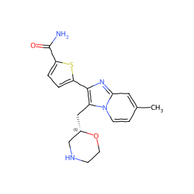 Cc1ccn2c(C[C@H]3CNCCO3)c(-c3ccc(C(N)=O)s3)nc2c1